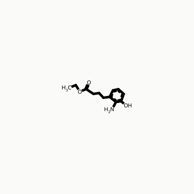 CCOC(=O)CCCc1cccc(O)c1N